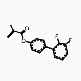 C=C(C)C(=O)Oc1ccc(-c2cccc(F)c2F)cc1